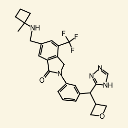 CC1(NCc2cc3c(c(C(F)(F)F)c2)CN(c2cccc(C(c4nnc[nH]4)C4COC4)c2)C3=O)CCC1